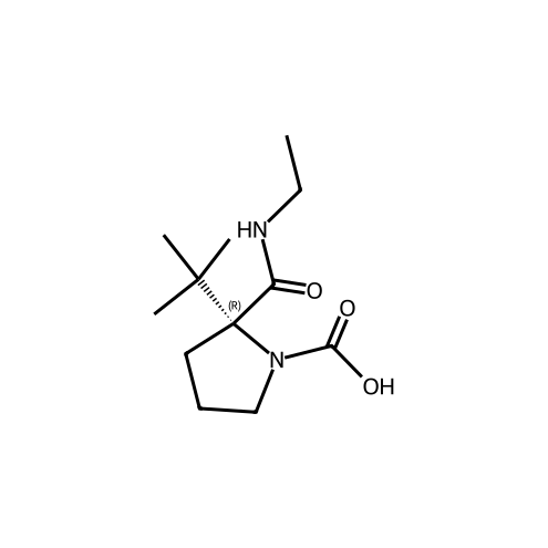 CCNC(=O)[C@]1(C(C)(C)C)CCCN1C(=O)O